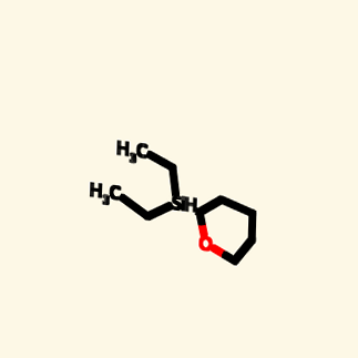 CC[SiH](CC)C1CCCCO1